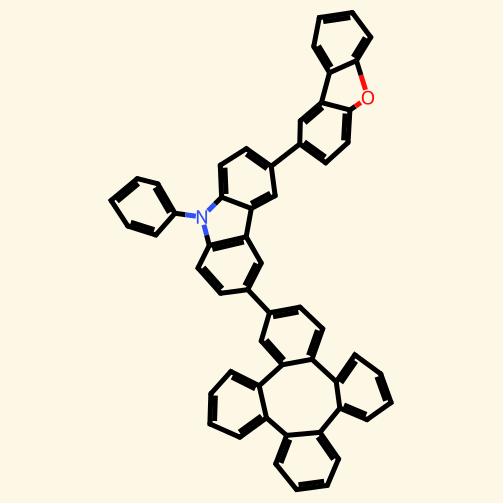 c1ccc(-n2c3ccc(-c4ccc5c(c4)-c4ccccc4-c4ccccc4-c4ccccc4-5)cc3c3cc(-c4ccc5oc6ccccc6c5c4)ccc32)cc1